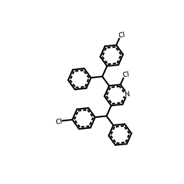 Clc1ccc(C(c2ccccc2)c2cnc(Cl)c(C(c3ccccc3)c3ccc(Cl)cc3)c2)cc1